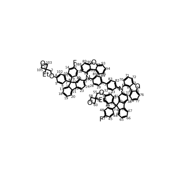 CCC1(COc2ccc(C3(c4ccc(F)cc4)c4ccccc4-c4ccc(N(c5ccc(-c6ccc(N(c7ccc8c(c7)C(c7ccc(F)cc7)(c7ccc(OCC9(CC)COC9)cc7)c7ccccc7-8)c7cccc8oc9ccccc9c78)cc6)cc5)c5cccc6oc7ccccc7c56)cc43)cc2)COC1